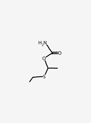 CCSC(C)OC(N)=O